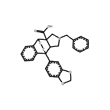 O=C(O)C12CN(Cc3ccccc3)CC1C1(c3ccc4c(c3)OCO4)CCC2c2ccccc21